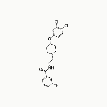 O=C(NCCN1CCC(Oc2ccc(Cl)c(Cl)c2)CC1)c1cccc(F)c1